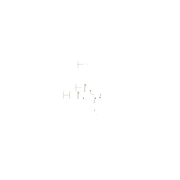 CC(C)(C)OC(=O)[C@](C)(N)C(=O)NCCCO